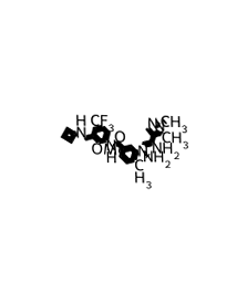 COc1c(CNC2CCC2)cc(C(F)(F)F)cc1NC(=O)c1ccc(C)c(N(N)/C=C(\N)c2cnn(C)c2C)c1